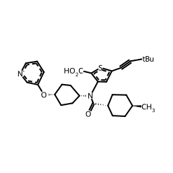 CC(C)(C)C#Cc1cc(N(C(=O)[C@H]2CC[C@H](C)CC2)[C@H]2CC[C@@H](Oc3cccnc3)CC2)c(C(=O)O)s1